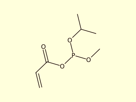 C=CC(=O)OP(OC)OC(C)C